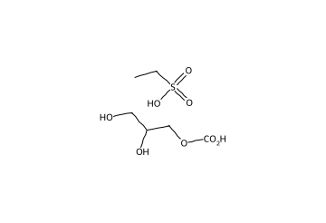 CCS(=O)(=O)O.O=C(O)OCC(O)CO